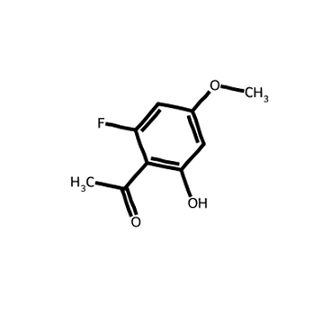 COc1cc(O)c(C(C)=O)c(F)c1